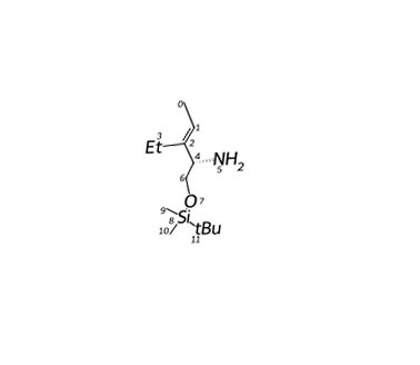 C/C=C(\CC)[C@H](N)CO[Si](C)(C)C(C)(C)C